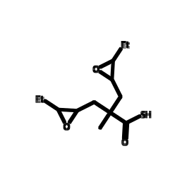 CCC1OC1CC(C)(CC1OC1CC)C(=O)S